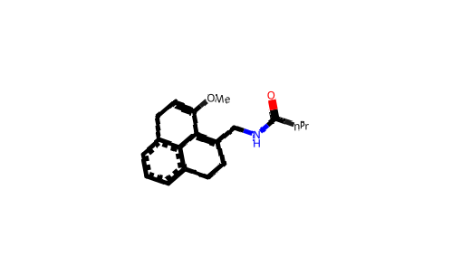 CCCC(=O)NCC1=C2C(OC)=CCc3cccc(c32)CC1